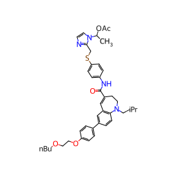 CCCCOCCOc1ccc(-c2ccc3c(c2)C=C(C(=O)Nc2ccc(SCc4nccn4C(C)OC(C)=O)cc2)CCN3CC(C)C)cc1